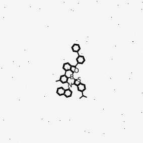 Cc1cc2c3c(c1)N(c1cccc4ccccc14)c1c(sc4ccc(C(C)C)cc14)B3c1oc(-c3cccc(-c4ccccc4)c3)c3cccc-2c13